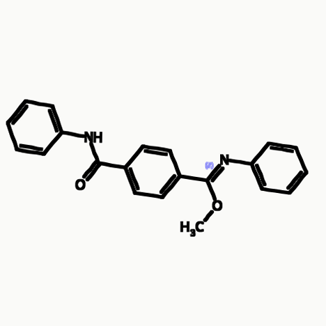 CO/C(=N\c1ccccc1)c1ccc(C(=O)Nc2ccccc2)cc1